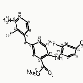 COC(=O)c1cc(Cc2ccnc(N)c2F)ncc1Nc1ccc(C)cc1F